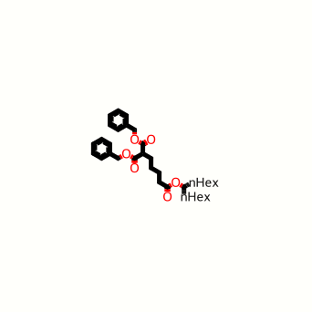 CCCCCCC(CCCCCC)OC(=O)CCCCC(C(=O)OCc1ccccc1)C(=O)OCc1ccccc1